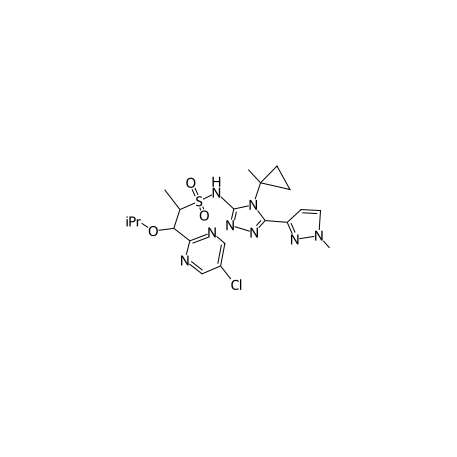 CC(C)OC(c1ncc(Cl)cn1)C(C)S(=O)(=O)Nc1nnc(-c2ccn(C)n2)n1C1(C)CC1